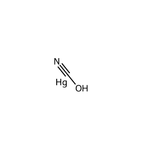 N#CO.[Hg]